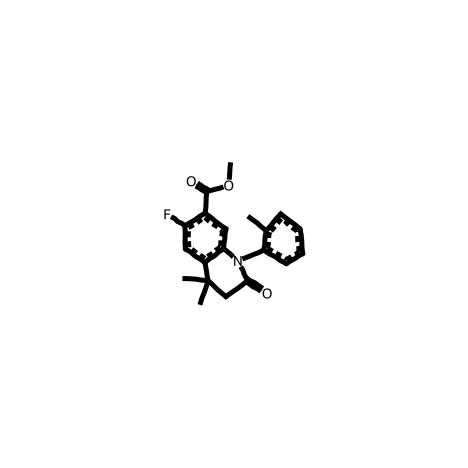 COC(=O)c1cc2c(cc1F)C(C)(C)CC(=O)N2c1ccccc1C